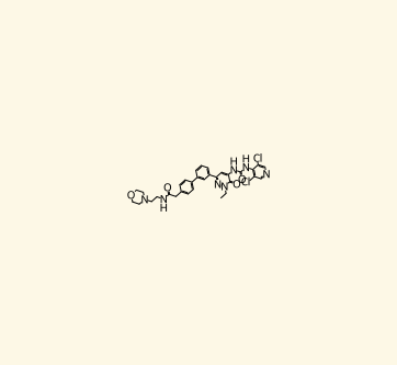 CCn1nc(-c2cccc(-c3ccc(CC(=O)NCCN4CCOCC4)cc3)c2)cc(NC(=O)Nc2c(Cl)cncc2Cl)c1=O